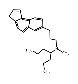 CCCC(CCC)N(C)CCCc1ccc2c3c(ccc2c1)CC=C3